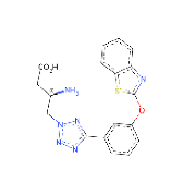 N[C@H](CC(=O)O)Cn1nnc(-c2cccc(Oc3nc4ccccc4s3)c2)n1